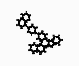 c1ccc2c(-c3ccc(-c4ccc5c(c4)c4c6ccccc6ccc4c4nc6ccccn6c54)cc3)cccc2c1